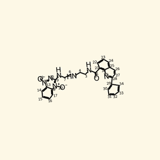 O=C(NCCNCCNc1n[n+]([O-])c2ccccc2[n+]1[O-])c1cccc2ccc(-c3ccccc3)nc12